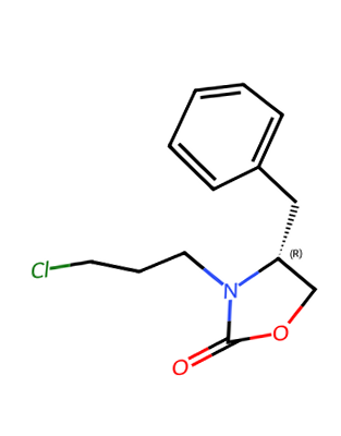 O=C1OC[C@@H](Cc2ccccc2)N1CCCCl